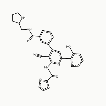 N#Cc1c(-c2cccc(C(=O)NCC3CCCN3)c2)cc(-c2ccccc2O)nc1NC(=O)c1cccs1